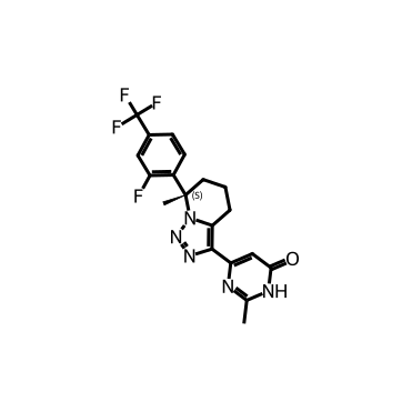 Cc1nc(-c2nnn3c2CCC[C@@]3(C)c2ccc(C(F)(F)F)cc2F)cc(=O)[nH]1